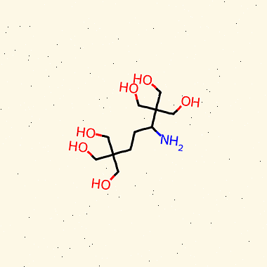 NC(CCC(CO)(CO)CO)C(CO)(CO)CO